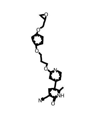 Cc1[nH]c(=O)c(C#N)cc1-c1ccnc(OCCCOc2ccc(OCC3CO3)cc2)c1